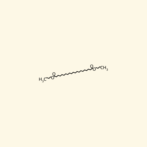 CCCCOC(=O)CCCCCCCCCCCCCCCCCCCC(=O)OCCCC